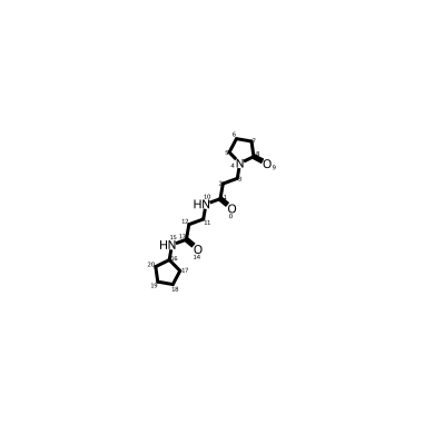 O=C(CCN1CCCC1=O)NCCC(=O)NC1CCCC1